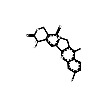 CC[C@H]1C(=O)OCc2c1cc1n(c2=O)Cc2c-1nc1cc(F)ccc1c2C